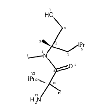 CC(C)C[C@@](C)(CO)N(C)C(=O)[C@@](C)(N)C(C)C